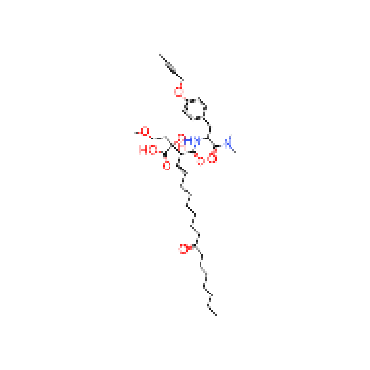 CC#CCOc1ccc(C[C@H](NC(=O)[C@@H](C=CCCCCCCC(=O)CCCCCCC)[C@@](O)(CCOC)C(=O)O)C(=O)N(C)C)cc1